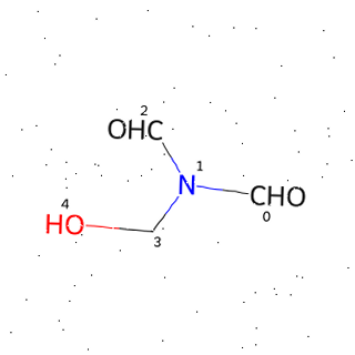 O=CN(C=O)CO